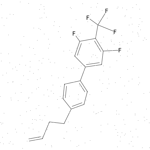 C=CCCc1ccc(-c2cc(F)c(C(F)(F)F)c(F)c2)cc1